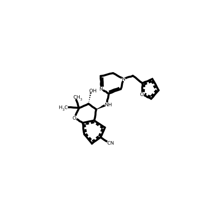 CC1(C)Oc2ccc(C#N)cc2[C@H](NC2=CN(Cc3ccco3)CC=N2)[C@H]1O